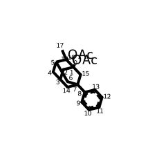 CC(=O)OC12CC3CC(CC(c4ccccc4)(C3)C1)C2(C)OC(C)=O